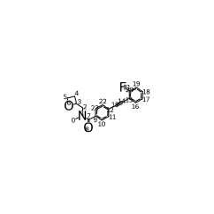 CN(CC1CCO1)C(=O)c1ccc(C#Cc2ccccc2F)cc1